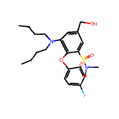 CCCCN(CCCC)c1cc(CO)cc(S(=O)(=O)N(C)C)c1Oc1ccc(F)cc1